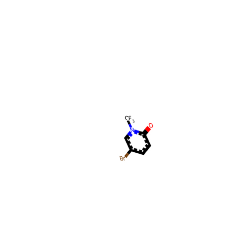 O=c1ccc(Br)cn1C(F)(F)F